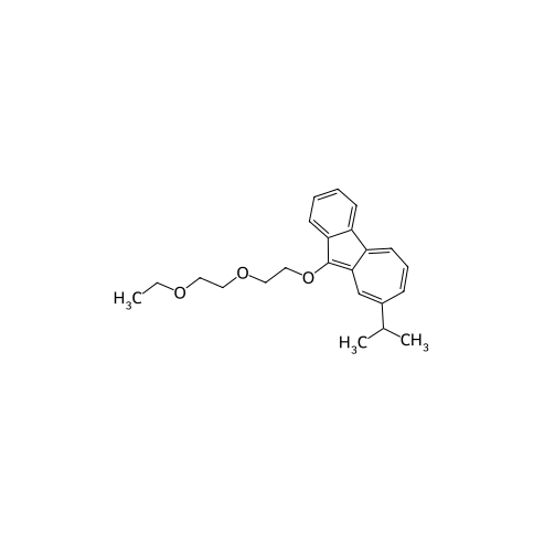 CCOCCOCCOc1c2cc(C(C)C)cccc-2c2ccccc12